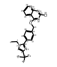 CCn1cc(C(F)(F)F)nc1-c1ccc(COc2nc(Cl)nc3ncccc23)cc1